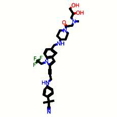 CN(CC(=O)N1CCC(NCc2ccc3c(c2)cc(C#CCNc2ccc(C(C)(C)C#N)cc2)n3CC(F)(F)F)CC1)CC(O)CO